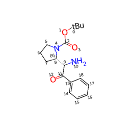 CC(C)(C)OC(=O)N1CCC[C@H]1C(N)C(=O)c1ccccc1